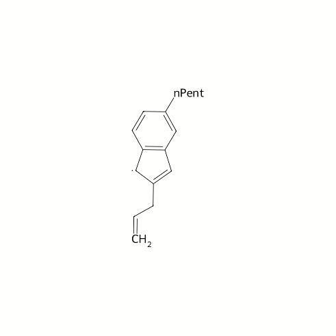 C=CCC1=Cc2cc(CCCCC)ccc2[CH]1